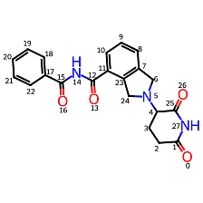 O=C1CCC(N2Cc3cccc(C(=O)NC(=O)c4ccccc4)c3C2)C(=O)N1